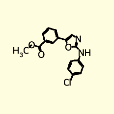 COC(=O)c1cccc(-c2cnc(Nc3ccc(Cl)cc3)o2)c1